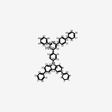 C1=CCCC(c2ccc3c(c2)c2cc(-c4ccccc4)ccc2n3C2C=CC(C3C=C(c4ccc(-c5ccccc5)cc4)N=C(c4ccccc4)N3)=CC2)=C1